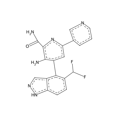 NC(=O)c1nc(-c2cccnc2)cc(-c2c(C(F)F)ccc3[nH]ncc23)c1N